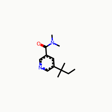 CCC(C)(C)c1cncc(C(=O)N(C)C)c1